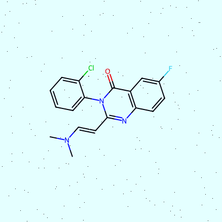 CN(C)/C=C/c1nc2ccc(F)cc2c(=O)n1-c1ccccc1Cl